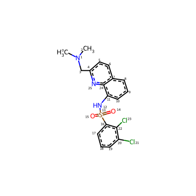 CN(C)Cc1ccc2cccc(NS(=O)(=O)c3cccc(Cl)c3Cl)c2n1